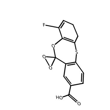 O=C(O)c1ccc2c(c1)C1(OO1)OC1=C(CCC=C1F)S2